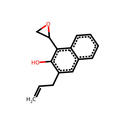 C=CCc1cc2ccccc2c(C2CO2)c1O